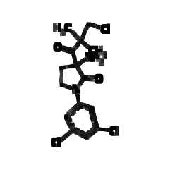 CC(C)(CCl)C(=O)C1(N)CCN(c2cc(Cl)cc(Cl)c2)C1=O